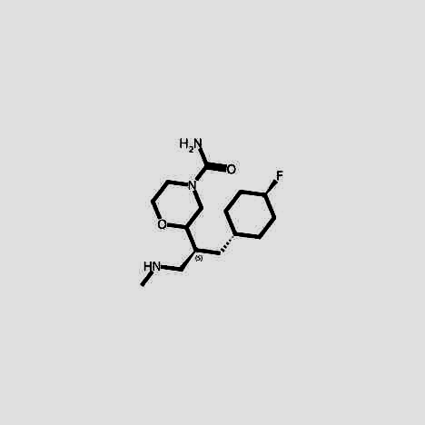 CNC[C@H](C[C@H]1CC[C@H](F)CC1)C1CN(C(N)=O)CCO1